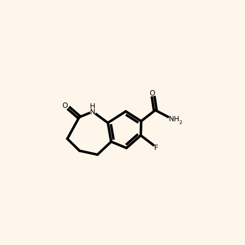 NC(=O)c1cc2c(cc1F)CCCC(=O)N2